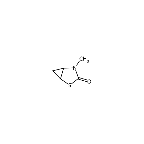 CN1C(=O)SC2CC21